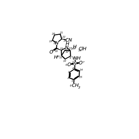 Cc1ccc(S(=O)(=O)N[C@@H]2C[C@@H]3C[C@H]2N[C@@H]3C(=O)N2CCC[C@H]2C#N)cc1.Cl